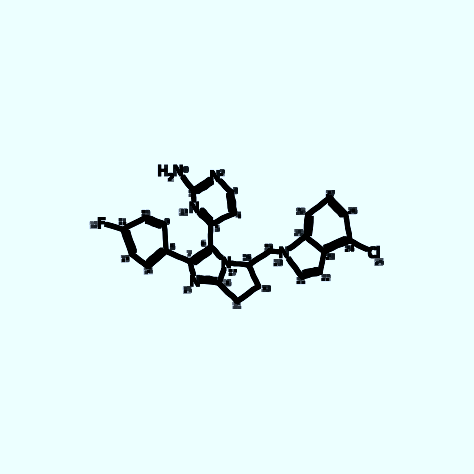 Nc1nccc(-c2c(-c3ccc(F)cc3)nc3n2C(Cn2ccc4c(Cl)cccc42)CC3)n1